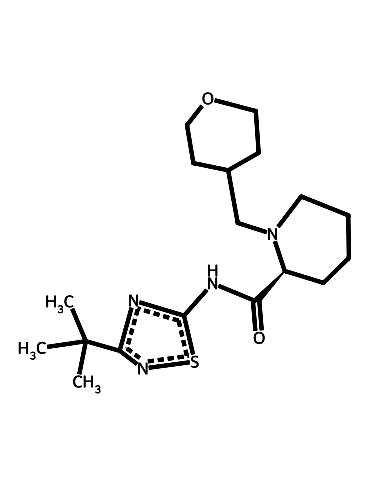 CC(C)(C)c1nsc(NC(=O)[C@@H]2CCCCN2CC2CCOCC2)n1